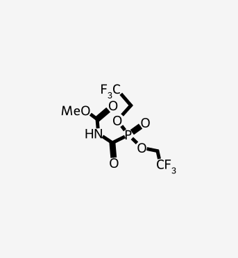 COC(=O)NC(=O)P(=O)(OCC(F)(F)F)OCC(F)(F)F